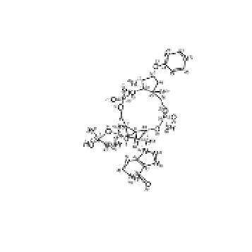 CC(C)[Si](O)(O[Si](O[C@@H]1C2CO[P@@](=O)(S)O[C@H]3C[C@H](Oc4ccncn4)C[C@@H]3CO[P@](=O)(S)O[C@H]1[C@H](n1nnc3c(=O)[nH]cnc31)C2)(C(C)C)C(C)C)C(C)C